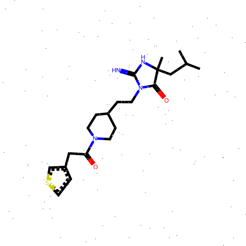 CC(C)CC1(C)NC(=N)N(CCC2CCN(C(=O)Cc3ccsc3)CC2)C1=O